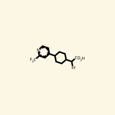 CCC(C(=O)O)C1CCC(c2ccnc(C(F)(F)F)c2)CC1